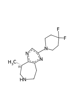 C[C@H]1CNCCc2nc(N3CCC(F)(F)CC3)cnc21